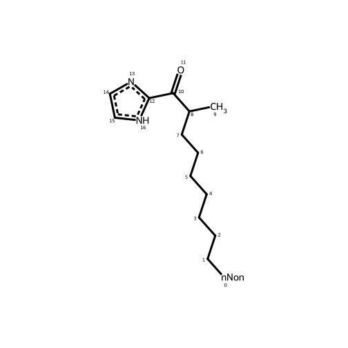 CCCCCCCCCCCCCCCCC(C)C(=O)c1ncc[nH]1